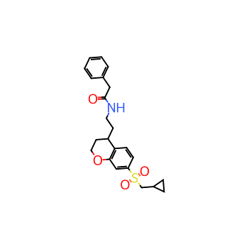 O=C(Cc1ccccc1)NCCC1CCOc2cc(S(=O)(=O)CC3CC3)ccc21